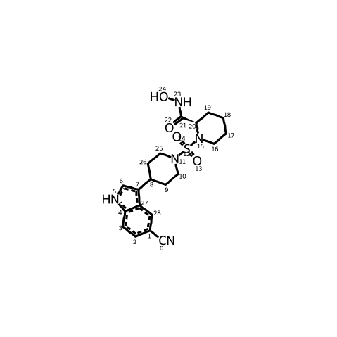 N#Cc1ccc2[nH]cc(C3CCN(S(=O)(=O)N4CCCC[C@@H]4C(=O)NO)CC3)c2c1